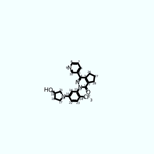 O=c1c2c(c(-c3cccnc3)nn1-c1cc(N3CCC(O)C3)ccc1C(F)(F)F)CCC2